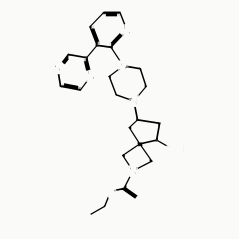 CCOC(=O)N1CC2(CC(N3CCN(c4ncccc4-c4cnccn4)CC3)CC2O)C1